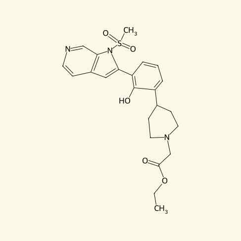 CCOC(=O)CN1CCC(c2cccc(-c3cc4ccncc4n3S(C)(=O)=O)c2O)CC1